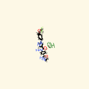 Cl.O=C(Nc1ccc([C@@H]2CNCCO2)cc1)c1cnn(-c2ccc(OC(F)F)cc2)c1